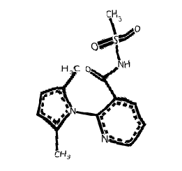 Cc1ccc(C)n1-c1ncccc1C(=O)NS(C)(=O)=O